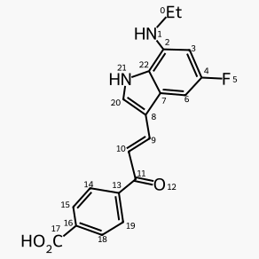 CCNc1cc(F)cc2c(C=CC(=O)c3ccc(C(=O)O)cc3)c[nH]c12